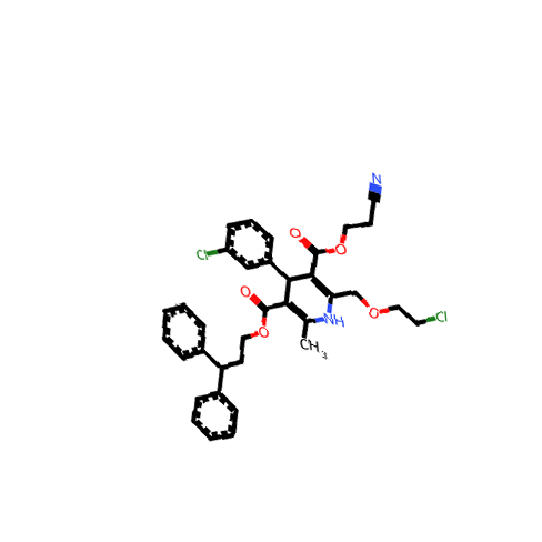 CC1=C(C(=O)OCCC(c2ccccc2)c2ccccc2)C(c2cccc(Cl)c2)C(C(=O)OCCC#N)=C(COCCCl)N1